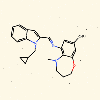 CN1CCCOc2cc(C=O)cc(/N=C/c3cc4ccccc4n3CC3CC3)c21